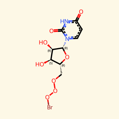 O=c1ccn([C@@H]2O[C@H](COOOBr)[C@@H](O)[C@H]2O)c(=O)[nH]1